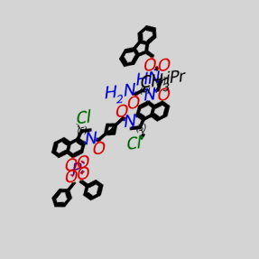 CC(C)[C@H](NC(=O)OCC1c2ccccc2-c2ccccc21)C(=O)N(c1cc2c(c3ccccc13)[C@H](CCl)CN2C(=O)C12CC(C(=O)N3C[C@@H](CCl)c4c3cc(OP(=O)(OCc3ccccc3)OCc3ccccc3)c3ccccc43)(C1)C2)[C@@H](C)C(N)=O